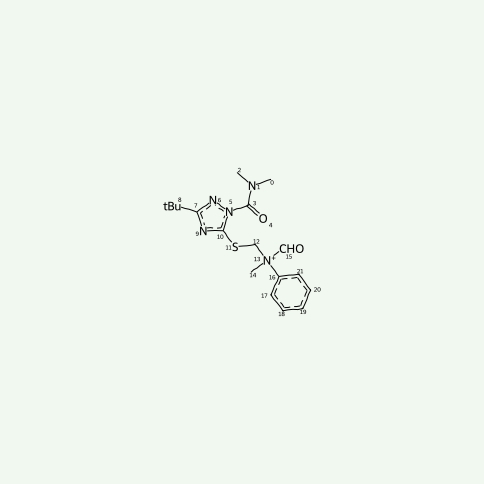 CN(C)C(=O)n1nc(C(C)(C)C)nc1SC[N+](C)(C=O)c1ccccc1